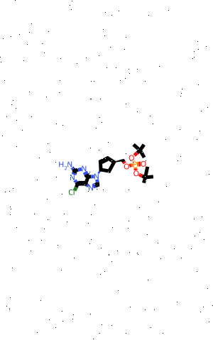 CC(C)(C)OP(=O)(OC[C@@H]1C=C[C@H](n2cnc3c(Cl)nc(N)nc32)C1)OC(C)(C)C